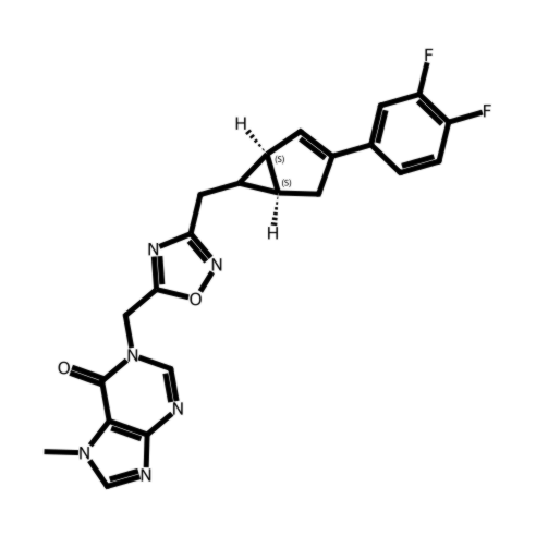 Cn1cnc2ncn(Cc3nc(CC4[C@H]5C=C(c6ccc(F)c(F)c6)C[C@@H]45)no3)c(=O)c21